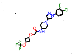 O=C(CO[C@H]1C[C@H](OC(F)(F)F)C1)NC1CCN(c2cnn(-c3ccc(Cl)c(F)c3)c2)CC1